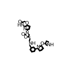 O=C1COc2ccc(N3C[C@H](CCNCc4cccc(-c5cccc(O[C@@H]6CCNC6)n5)c4)OC3=O)nc2N1